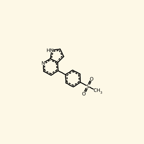 CS(=O)(=O)c1ccc(-c2ccnc3[nH]ccc23)cc1